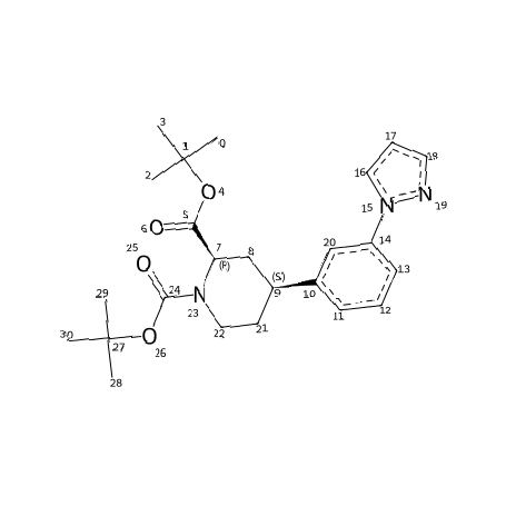 CC(C)(C)OC(=O)[C@H]1C[C@@H](c2cccc(-n3cccn3)c2)CCN1C(=O)OC(C)(C)C